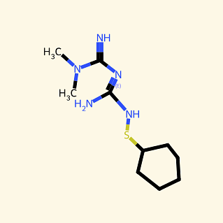 CN(C)C(=N)/N=C(\N)NSC1CCCCC1